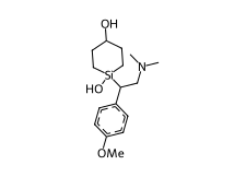 COc1ccc(C(CN(C)C)[Si]2(O)CCC(O)CC2)cc1